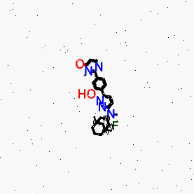 CN(c1ccc(-c2ccc(-c3nccc(=O)n3C)cc2O)nn1)[C@@H]1C[C@@]2(C)CCC[C@](C)(C2)[C@H]1F